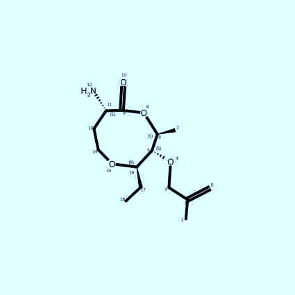 C=C(C)CO[C@H]1[C@H](C)OC(=O)[C@@H](N)CCO[C@@H]1CC